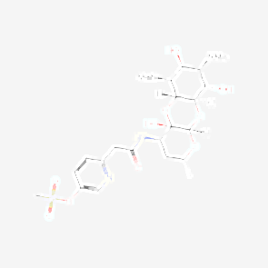 CN[C@@H]1[C@H](O)[C@H](NC)[C@H]2O[C@]3(O)[C@H](O[C@@H]2[C@H]1O)O[C@H](C)C[C@H]3NC(=O)Cc1ccc(OS(C)(=O)=O)cn1